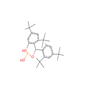 Cc1cc(C(C)(C)C)cc(C(C)(C)C)c1C(OP(O)O)c1c(C)cc(C(C)(C)C)cc1C(C)(C)C